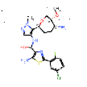 CO[C@H]1CO[C@H](c2c(NC(O)c3nc(-c4cc(Cl)ccc4F)sc3N)cnn2C)CC[C@H]1N